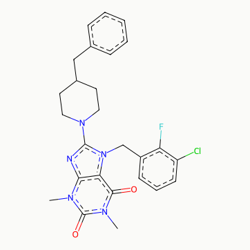 Cn1c(=O)c2c(nc(N3CCC(Cc4ccccc4)CC3)n2Cc2cccc(Cl)c2F)n(C)c1=O